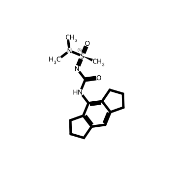 CN(C)[S@](C)(=O)=NC(=O)Nc1c2c(cc3c1CCC3)CCC2